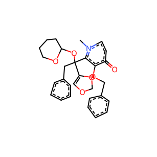 Cn1ccc(=O)c(OCc2ccccc2)c1C(Cc1ccccc1)(OC1CCCCO1)C1=COCO1